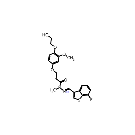 COc1cc(OCCC(=O)N(C)/N=C/c2csc3c(F)cccc23)ccc1OCCO